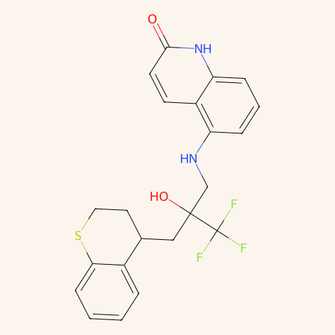 O=c1ccc2c(NCC(O)(CC3CCSc4ccccc43)C(F)(F)F)cccc2[nH]1